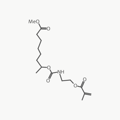 C=C(C)C(=O)OCCNC(=O)OC(C)CCCCCC(=O)OC